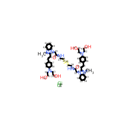 C[n+]1c(C=Cc2ccc(N(CCO)CCO)cc2)n(CC(=O)NCCSSCCNC(=O)Cn2c(C=Cc3ccc(N(CCO)CCO)cc3)[n+](C)c3ccccc32)c2ccccc21.[Cl-].[Cl-]